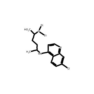 CCN(CC)C(CCC(C)Nc1ccnc2cc(Cl)ccc12)C(=O)O